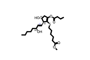 CCCCC[C@H](O)/C=C/[C@@H]1C(SCCCCCC(=O)OC)=C(OC(=O)CCC)C[C@H]1O